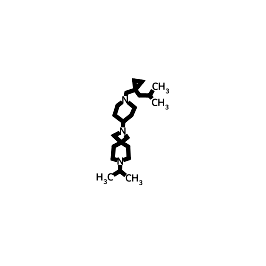 CC(C)CC1(CN2CCC(N3CC4(CCN(C(C)C)CC4)C3)CC2)CC1